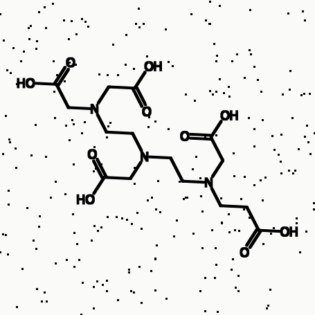 O=C(O)CCN(CCN(CCN(CC(=O)O)CC(=O)O)CC(=O)O)CC(=O)O